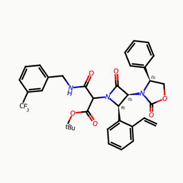 C=Cc1ccccc1[C@@H]1[C@H](N2C(=O)OC[C@@H]2c2ccccc2)C(=O)N1C(C(=O)NCc1cccc(C(F)(F)F)c1)C(=O)OC(C)(C)C